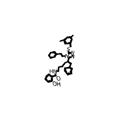 Cc1cc(C)cc(CSc2nnc(C(CCCCNC(=O)c3ccccc3O)Cc3ccccc3)n2CCc2ccccc2)c1